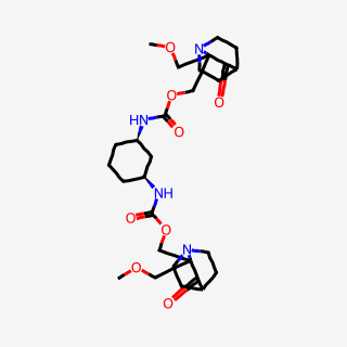 COCC1(COC(=O)N[C@@H]2CCC[C@H](NC(=O)OCC3(COC)C(=O)C4CCN3CC4)C2)C(=O)C2CCN1CC2